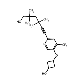 CC(C)(C#Cc1cc(C(F)(F)F)c(OC2CC(O)C2)cn1)CC(C)(C)CO